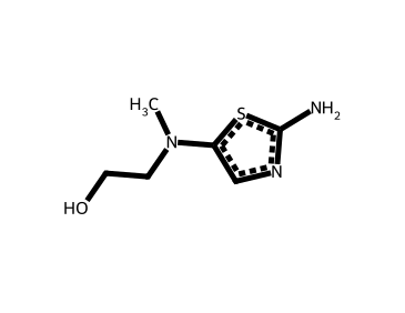 CN(CCO)c1cnc(N)s1